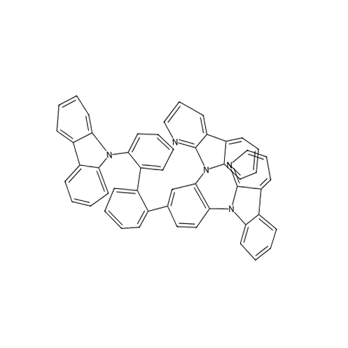 c1ccc(-c2ccccc2-n2c3ccccc3c3ccccc32)c(-c2ccc(-n3c4ccccc4c4cccnc43)c(-n3c4ccccc4c4cccnc43)c2)c1